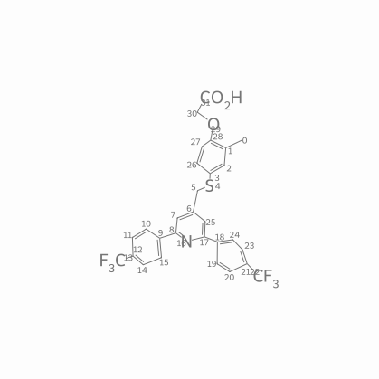 Cc1cc(SCc2cc(-c3ccc(C(F)(F)F)cc3)nc(-c3ccc(C(F)(F)F)cc3)c2)ccc1OCC(=O)O